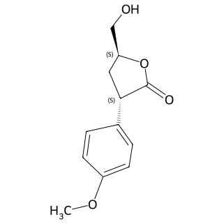 COc1ccc([C@@H]2C[C@@H](CO)OC2=O)cc1